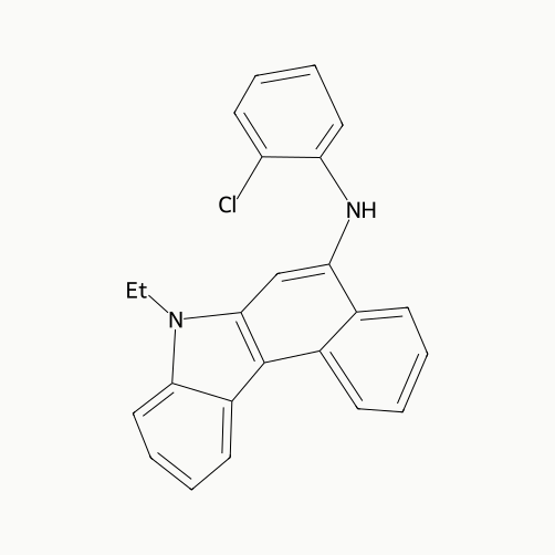 CCn1c2ccccc2c2c3ccccc3c(Nc3ccccc3Cl)cc21